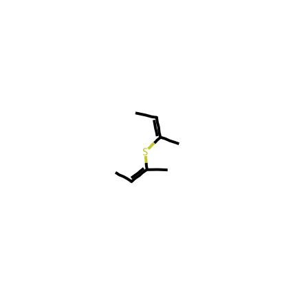 C/C=C(/C)S/C(C)=C\C